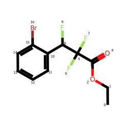 CCOC(=O)C(F)(F)C(F)c1ccccc1Br